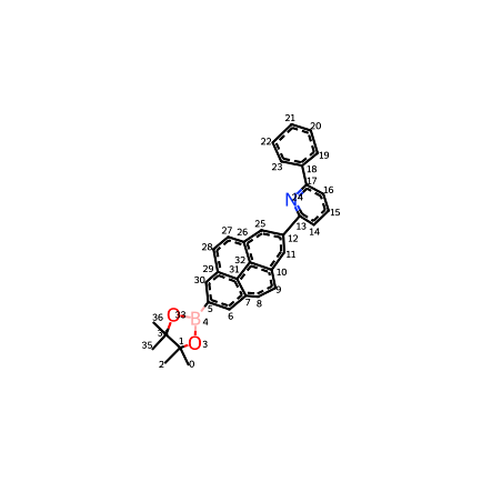 CC1(C)OB(c2cc3ccc4cc(-c5cccc(-c6ccccc6)n5)cc5ccc(c2)c3c45)OC1(C)C